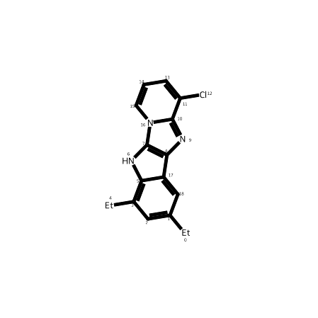 CCc1cc(CC)c2[nH]c3c(nc4c(Cl)cccn43)c2c1